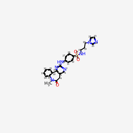 CN1C(=O)Cc2cnc(Nc3ccc(S(=O)(=O)NCCCn4ccnc4)cc3)nc2-c2ccccc21